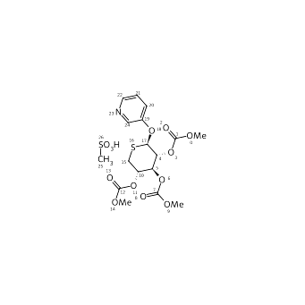 COC(=O)O[C@@H]1[C@@H](OC(=O)OC)[C@H](OC(=O)OC)CS[C@H]1Oc1cccnc1.CS(=O)(=O)O